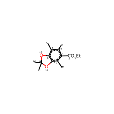 CCOC(=O)c1c(C)c(C)c2c(c1C)OC(C)(C)O2